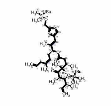 C=CC/C(C)=C\C[C@H](OC(=O)C[C@H](C)C(C)(C)C(=O)[C@H](C)[C@@H](O[Si](C)(C)C(C)(C)C)[C@@H](C)C=C)/C(C)=C/c1csc(CO[Si](C)(C)C(C)(C)C)n1